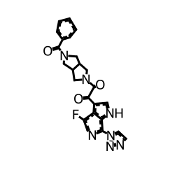 O=C(C(=O)N1CC2CN(C(=O)c3ccccc3)CC2C1)c1c[nH]c2c(-n3ccnn3)ncc(F)c12